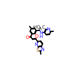 Cc1cc([C@@H](C)Nc2ccc(C)nc2C(=O)O)c2oc(-c3ccc4nc(C)sc4n3)cc(=O)c2c1